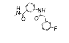 CNC(=O)c1cccc(NC(=O)Cc2cccc(F)c2)c1